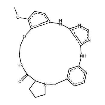 COc1ccc2cc1OCCNC(=O)C1CCCN1Cc1cccc(c1)Nc1cc(ncn1)N2